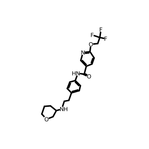 O=C(Nc1ccc(CCNC2CCCOC2)cc1)c1ccc(OCC(F)(F)F)nc1